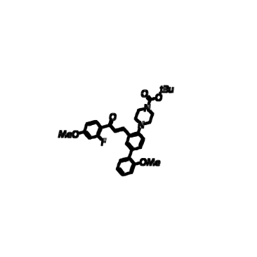 COc1ccc(C(=O)/C=C/c2cc(-c3ccccc3OC)ccc2N2CCN(C(=O)OC(C)(C)C)CC2)c(F)c1